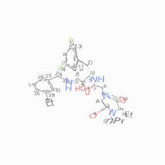 CCCN1C(=O)CN(CC(=O)N[C@@H](Cc2cc(F)cc(F)c2)[C@@H](O)CNCc2cccc(CC)c2)C(=O)[C@@H]1CC